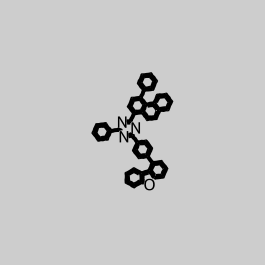 c1ccc(-c2nc(-c3ccc(-c4cccc5oc6ccccc6c45)cc3)nc(-c3ccc(-c4ccccc4)c4c3ccc3ccccc34)n2)cc1